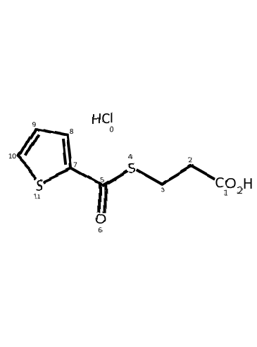 Cl.O=C(O)CCSC(=O)c1cccs1